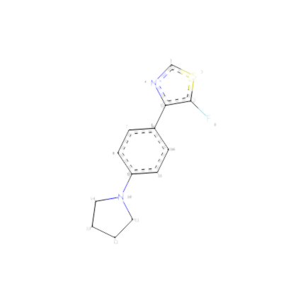 Fc1s[c]nc1-c1ccc(N2CCCC2)cc1